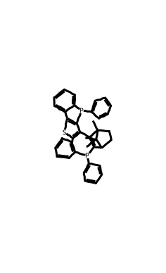 Cc1sc2c3ccccc3p(-c3ccccc3)c2c1C1=C(P(c2ccccc2)c2ccccc2)C2CCC1(C)C2(C)C